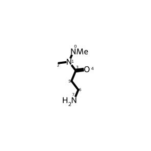 CNN(C)C(=O)CCN